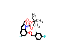 CC(C)(C)OC(=O)n1c(CO)cc2cc(F)cc(OCc3ccc(F)cc3F)c21